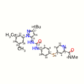 CNC(=O)c1cc(Sc2ccc(NC(=O)Nc3cc(C(C)(C)C)nn3-c3cc(C)cc(C)c3)cc2)ccn1